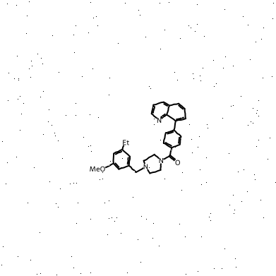 CCc1cc(CN2CCN(C(=O)c3ccc(-c4cccc5cccnc45)cc3)CC2)cc(OC)c1